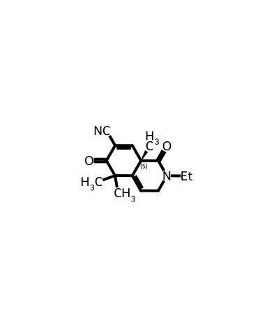 CCN1CC=C2C(C)(C)C(=O)C(C#N)=C[C@]2(C)C1=O